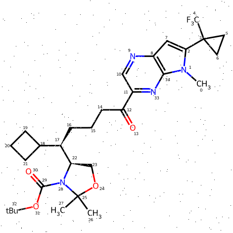 Cn1c(C2(C(F)(F)F)CC2)cc2ncc(C(=O)CCC[C@H](C3CCC3)[C@H]3COC(C)(C)N3C(=O)OC(C)(C)C)nc21